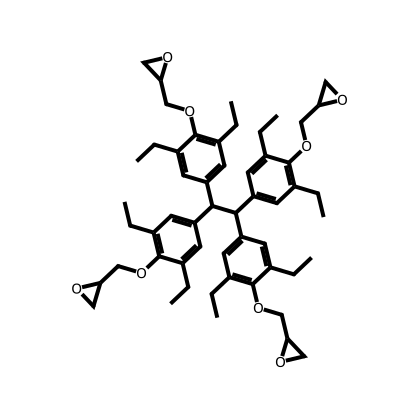 CCc1cc(C(c2cc(CC)c(OCC3CO3)c(CC)c2)C(c2cc(CC)c(OCC3CO3)c(CC)c2)c2cc(CC)c(OCC3CO3)c(CC)c2)cc(CC)c1OCC1CO1